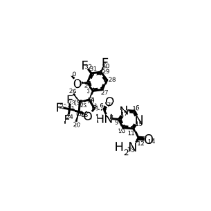 COc1c([C@H]2[C@H](C(=O)Nc3cc(C(N)=O)ncn3)O[C@](C)(C(F)(F)F)[C@H]2C)ccc(F)c1F